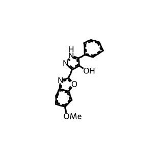 COc1ccc2nc(-c3n[nH]c(-c4ccccc4)c3O)oc2c1